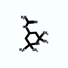 CC1(C)CC(NC(=N)N)CC(C)(C)N1